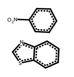 O=[N+]([O-])c1ccccc1.c1ccc2scnc2c1